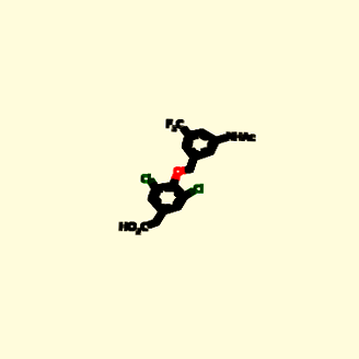 CC(=O)Nc1cc(COc2c(Cl)cc(CC(=O)O)cc2Cl)cc(C(F)(F)F)c1